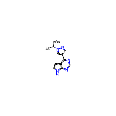 CCCCC(CC)n1cc(-c2ncnc3[nH]ccc23)cn1